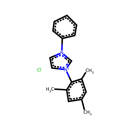 Cc1cc(C)c(-[n+]2ccn(-c3ccccc3)c2)c(C)c1.[Cl-]